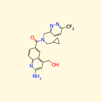 Nc1cc(CO)c2cc(C(=O)N(Cc3ccc(C(F)(F)F)nn3)CC3CC3)ccc2n1